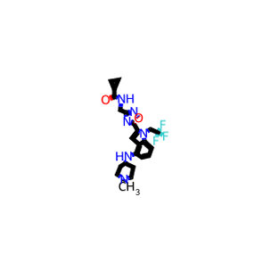 CN1CCC(Nc2cccc3c2cc(-c2nc(CNC(=O)C4CC4)no2)n3CC(F)(F)F)CC1